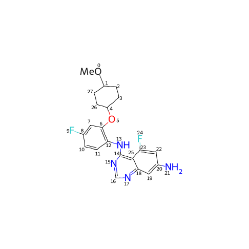 COC1CCC(Oc2cc(F)ccc2Nc2ncnc3cc(N)cc(F)c23)CC1